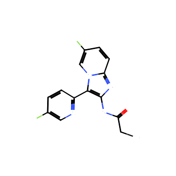 CC(C)(C)CC(=O)Nc1nc2ccc(F)cn2c1-c1ccc(F)cn1